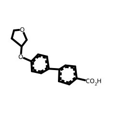 O=C(O)c1ccc(-c2ccc(OC3CCOC3)cc2)cc1